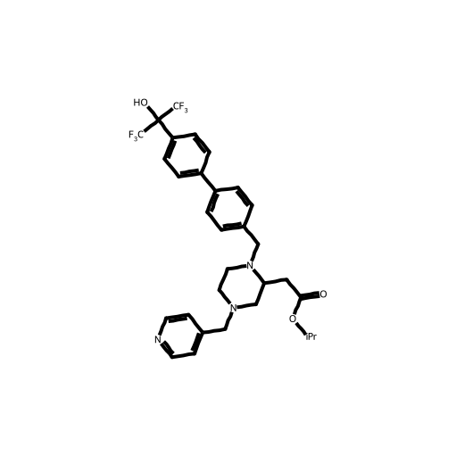 CC(C)OC(=O)CC1CN(Cc2ccncc2)CCN1Cc1ccc(-c2ccc(C(O)(C(F)(F)F)C(F)(F)F)cc2)cc1